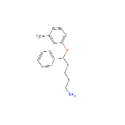 NCCCCC(Oc1cccc(C(F)(F)F)c1)c1ccccc1